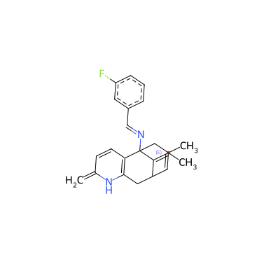 C=C1C=CC2=C(CC3C=C(C)CC2(N=Cc2cccc(F)c2)/C3=C/C)N1